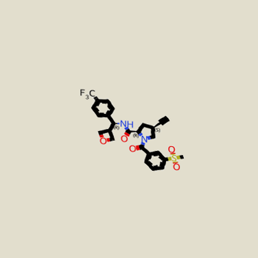 C#C[C@@H]1C[C@H](C(=O)N[C@@H](c2ccc(C(F)(F)F)cc2)C2COC2)N(C(=O)c2cccc(S(C)(=O)=O)c2)C1